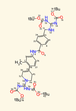 Cc1cc(NC(=O)c2ccc(CNC(=NC(=O)OC(C)(C)C)NC(=O)OC(C)(C)C)cc2)ccc1C1=CCN(C(=NC(=O)OC(C)(C)C)NC(=O)OC(C)(C)C)CC1